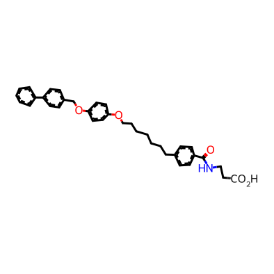 O=C(O)CCNC(=O)c1ccc(CCCCCCCOc2ccc(OCc3ccc(-c4ccccc4)cc3)cc2)cc1